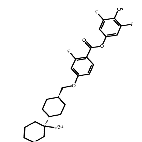 CCCCC1([C@H]2CC[C@H](COc3ccc(C(=O)Oc4cc(F)c(C#N)c(F)c4)c(F)c3)CC2)CCCCC1